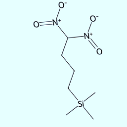 C[Si](C)(C)CCCC([N+](=O)[O-])[N+](=O)[O-]